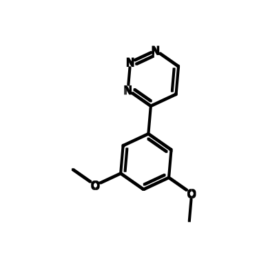 COc1cc(OC)cc(-c2ccnnn2)c1